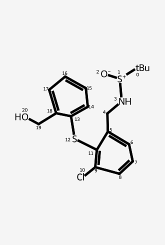 CC(C)(C)[S+]([O-])NCc1cccc(Cl)c1Sc1ccccc1CO